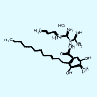 CCCCCCCCCCCCc1c(C(=O)O)cc(O)c(O)c1O.CCCCNC(=N)NC(=N)N.Cl